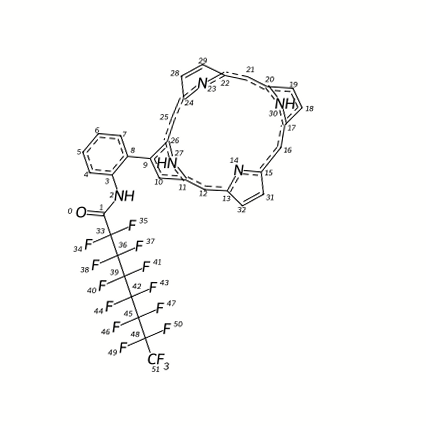 O=C(Nc1ccccc1-c1cc2cc3nc(cc4ccc(cc5nc(cc1[nH]2)C=C5)[nH]4)C=C3)C(F)(F)C(F)(F)C(F)(F)C(F)(F)C(F)(F)C(F)(F)C(F)(F)F